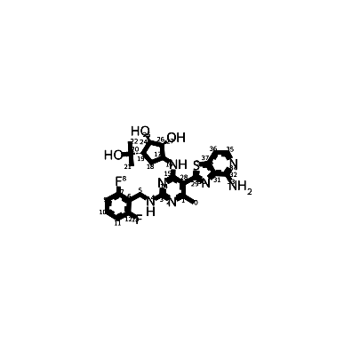 Cc1nc(NCc2c(F)cccc2F)nc(NC2C[C@H](C(C)(C)O)[C@@H](O)[C@H]2O)c1-c1nc2c(N)nccc2s1